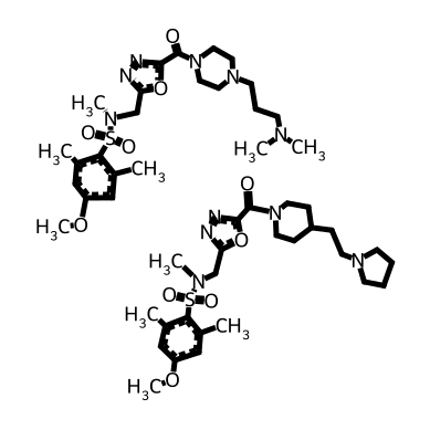 COc1cc(C)c(S(=O)(=O)N(C)Cc2nnc(C(=O)N3CCC(CCN4CCCC4)CC3)o2)c(C)c1.COc1cc(C)c(S(=O)(=O)N(C)Cc2nnc(C(=O)N3CCN(CCCN(C)C)CC3)o2)c(C)c1